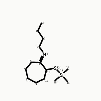 CCCC/N=C1\CCCCCC1S[Si](C)(C)C